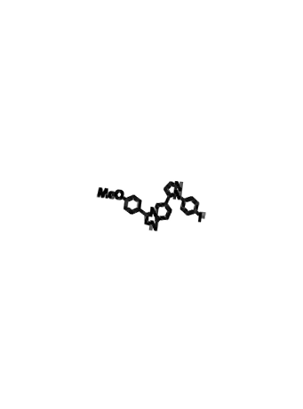 COc1ccc(-c2cnc3ccc(-c4ccnn4-c4ccc(F)cc4)cn23)cc1